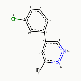 CC(C)c1cc(-c2cccc(Cl)c2)cnn1